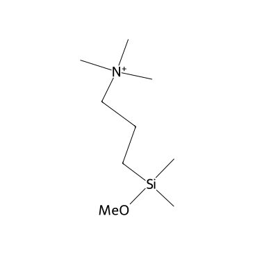 CO[Si](C)(C)CCC[N+](C)(C)C